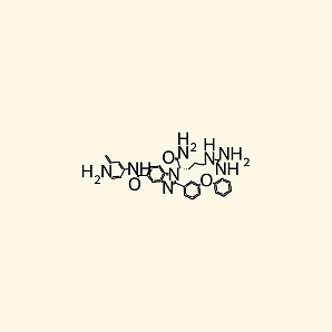 C=C/C=C(\C=C/N)NC(=O)c1ccc2c(c1)nc(-c1cccc(Oc3ccccc3)c1)n2[C@@H](CCCNC(=N)N)C(N)=O